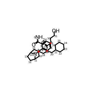 NC(=O)c1ccccc1C1CC2CCC(C1)N2CCN(CC1CCCCC1)C(=O)CCCO